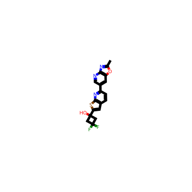 Cc1nc2ncc(-c3ccc4cc(C5(O)CC(F)(F)C5)sc4n3)cc2o1